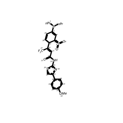 CCCN(CCC)C1=CC(=S(=O)=O)C(C(=CC(=O)Nc2nc(-c3ccc(OC)cc3)cs2)C(F)(F)F)C=C1